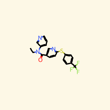 CCN(C(=O)c1ccc(Sc2ccc(C(F)(F)F)cc2)nc1)c1cccnc1